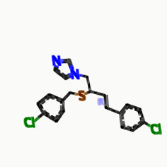 Clc1ccc(/C=C/C(Cn2ccnc2)SCc2ccc(Cl)cc2)cc1